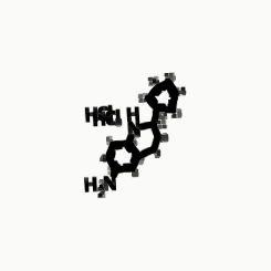 Cl.Cl.Nc1ccc2c(c1)CCC(c1ccccc1)N2